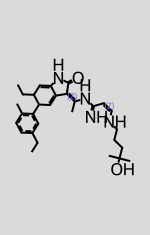 CCc1ccc(C)c(C2C=C3C(=CC2CC)NC(=O)/C3=C(/C)NC(=N)/C=C\NCCCC(C)(C)O)c1